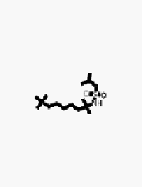 CC(C)CS(=O)(=O)NC(C)(C)CCCCCC(C)(C)C